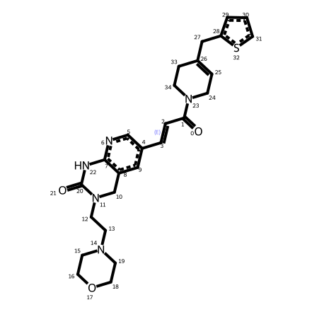 O=C(/C=C/c1cnc2c(c1)CN(CCN1CCOCC1)C(=O)N2)N1CC=C(Cc2cccs2)CC1